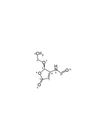 CCO[C@@H]1OC(=O)C=C1NC=O